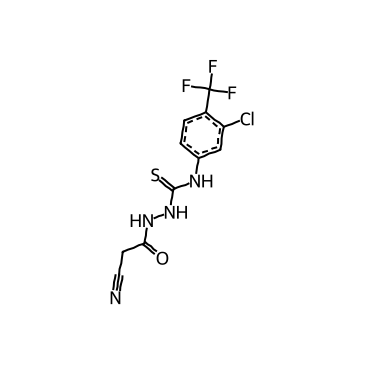 N#CCC(=O)NNC(=S)Nc1ccc(C(F)(F)F)c(Cl)c1